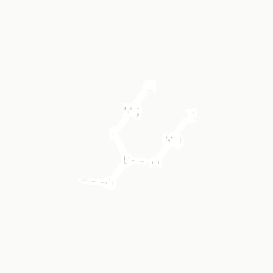 COB([O][Mg][Cl])[O][Mg][Cl]